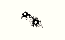 [2H]C1([2H])C([2H])([2H])C([2H])(S(=O)(=O)N/N=C/c2cncc(F)c2Cl)C([2H])([2H])C([2H])([2H])C1([2H])C